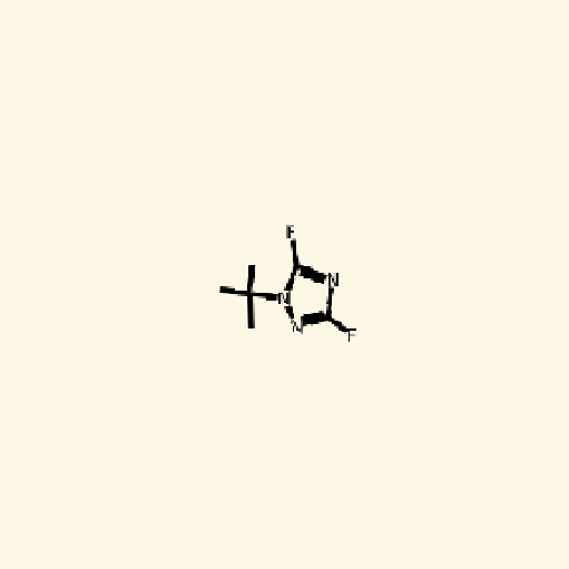 CC(C)(C)n1nc(F)nc1F